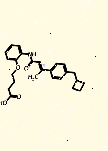 C/C(=C\C(=O)Nc1ccccc1OCCCC(=O)O)c1ccc(CC2CCC2)cc1